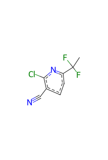 CC(F)(F)c1ccc(C#N)c(Cl)n1